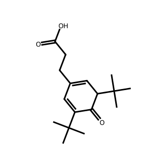 CC(C)(C)C1=CC(CCC(=O)O)=CC(C(C)(C)C)C1=O